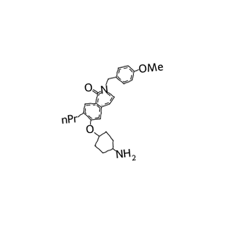 CCCc1cc2c(=O)n(Cc3ccc(OC)cc3)ccc2cc1OC1CCC(N)CC1